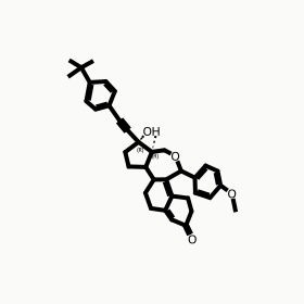 COc1ccc(C2OC[C@@]3(C)C(CC[C@@]3(O)C#Cc3ccc(C(C)(C)C)cc3)C3CCC4=CC(=O)CCC4=C23)cc1